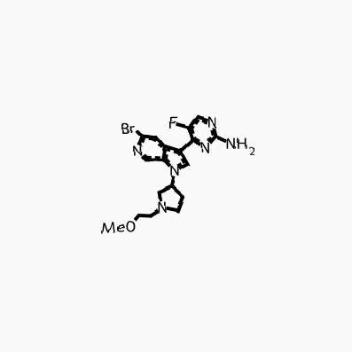 COCCN1CCC(n2cc(-c3nc(N)ncc3F)c3cc(Br)ncc32)C1